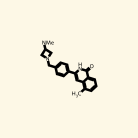 CNC1CN(Cc2ccc(-c3cc4c(C)cccc4c(=O)[nH]3)cc2)C1